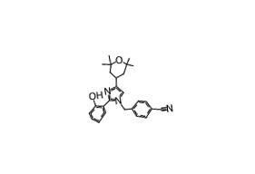 CC1(C)CC(c2cn(Cc3ccc(C#N)cc3)c(-c3ccccc3O)n2)CC(C)(C)O1